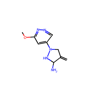 C=C1CN(c2cnnc(OC)c2)NC1N